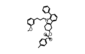 COc1cccc(CCCn2c3c(c4cccc(-c5ccccc5)c42)CC(OS(=O)(=O)c2ccc(C)cc2)CC3)c1